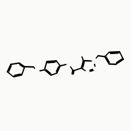 Cc1c(C(=O)Nc2ccc(OCc3ccccc3)cc2)nnn1Cc1ccccc1